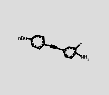 CCCCc1ccc(C#Cc2ccc(N)c(F)c2)cc1